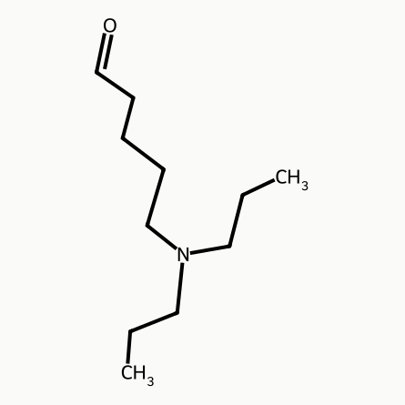 CCCN(CCC)CCCCC=O